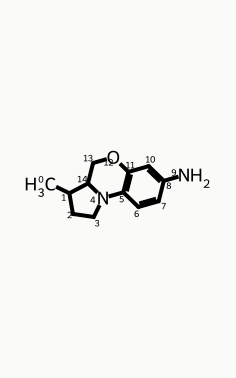 CC1CCN2c3ccc(N)cc3OCC12